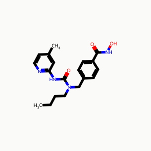 CCCCN(Cc1ccc(C(=O)NO)cc1)C(=O)Nc1cc(C)ccn1